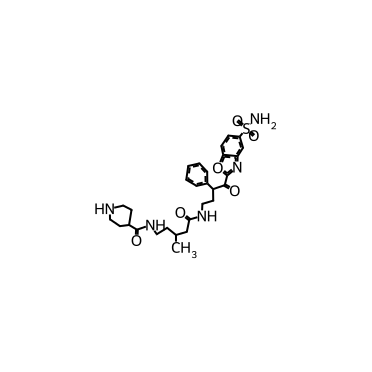 CC(CCNC(=O)C1CCNCC1)CC(=O)NCCC(C(=O)c1nc2cc(S(N)(=O)=O)ccc2o1)c1ccccc1